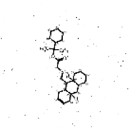 CC(C)(OC(=O)CSCC1C2CC=CC[C@H]2CC2CCCC[C@H]21)C1CCCCC1